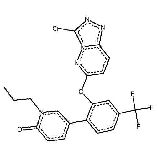 CCCn1cc(-c2ccc(C(F)(F)F)cc2Oc2ccc3nnc(Cl)n3n2)ccc1=O